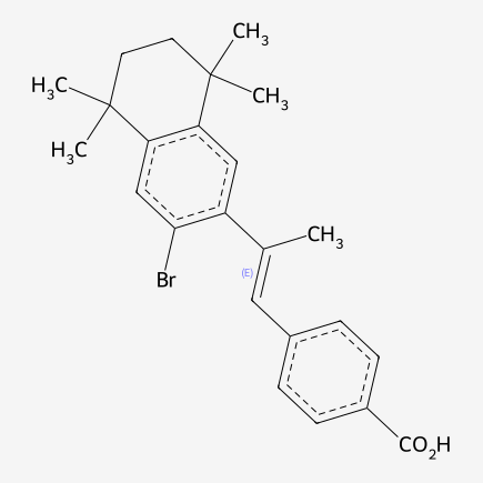 C/C(=C\c1ccc(C(=O)O)cc1)c1cc2c(cc1Br)C(C)(C)CCC2(C)C